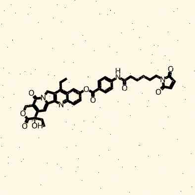 CCc1c2c(nc3ccc(OC(=O)c4ccc(NC(=O)CCCCCN5C(=O)C=CC5=O)cc4)cc13)-c1cc3c(c(=O)n1C2)COC(=O)[C@]3(O)CC